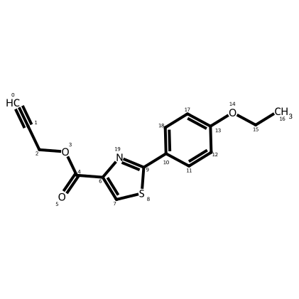 C#CCOC(=O)c1csc(-c2ccc(OCC)cc2)n1